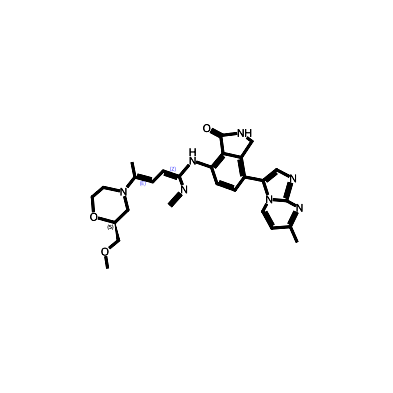 C=N/C(=C\C=C(/C)N1CCO[C@H](COC)C1)Nc1ccc(-c2cnc3nc(C)ccn23)c2c1C(=O)NC2